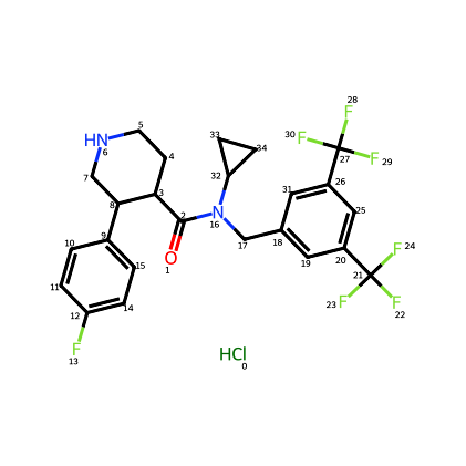 Cl.O=C(C1CCNCC1c1ccc(F)cc1)N(Cc1cc(C(F)(F)F)cc(C(F)(F)F)c1)C1CC1